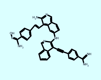 N=C(N)c1ccc(C#Cc2c(Nc3ccc4cnc(N)c(/C=C/c5ccc(/C(N)=N\O)cc5)c4c3)ncc3ccccc23)cc1